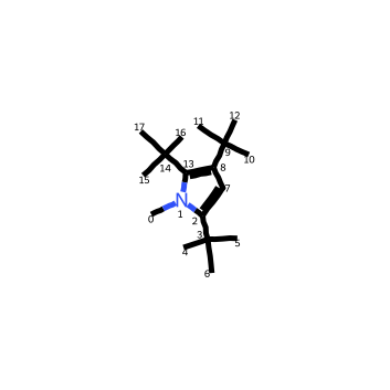 Cn1c(C(C)(C)C)cc(C(C)(C)C)c1C(C)(C)C